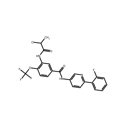 CC(Cl)C(=O)Nc1cc(C(=O)Nc2ccc(-c3ccccc3F)nc2)ccc1OC(F)(F)F